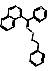 c1ccc(CCON=C(c2cccnc2)c2cccc3ccccc23)cc1